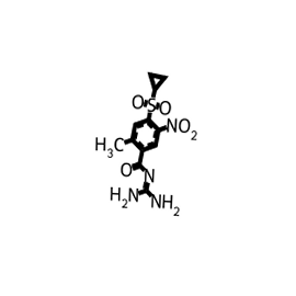 Cc1cc(S(=O)(=O)C2CC2)c([N+](=O)[O-])cc1C(=O)N=C(N)N